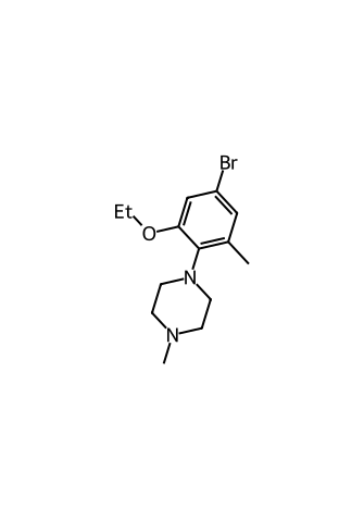 CCOc1cc(Br)cc(C)c1N1CCN(C)CC1